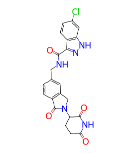 O=C1CCC(N2Cc3cc(CNC(=O)c4n[nH]c5cc(Cl)ccc45)ccc3C2=O)C(=O)N1